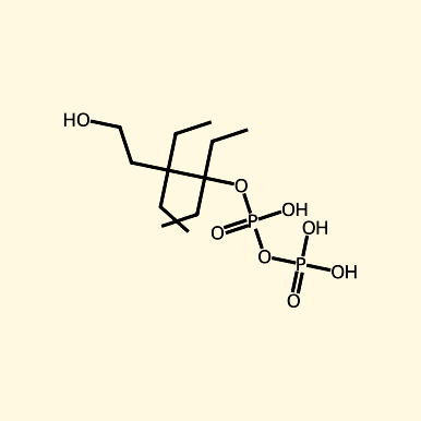 CCC(CC)(CCO)C(CC)(CC)OP(=O)(O)OP(=O)(O)O